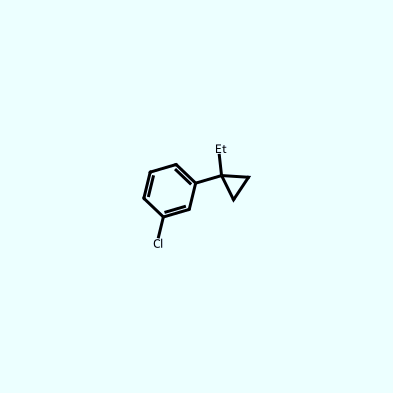 CCC1(c2cccc(Cl)c2)CC1